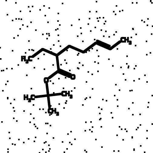 CC=CCCC(CC)C(=O)OC(C)(C)C